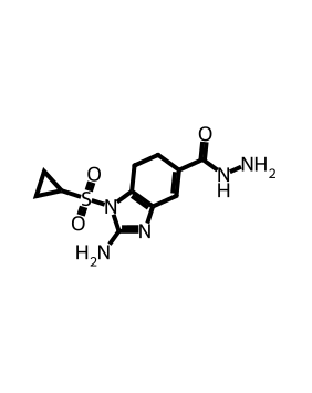 NNC(=O)C1=Cc2nc(N)n(S(=O)(=O)C3CC3)c2CC1